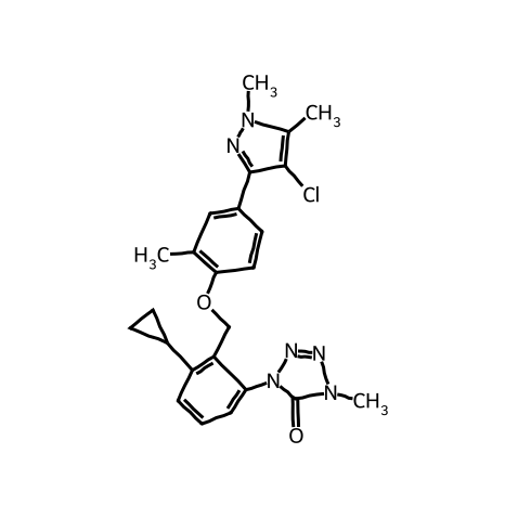 Cc1cc(-c2nn(C)c(C)c2Cl)ccc1OCc1c(C2CC2)cccc1-n1nnn(C)c1=O